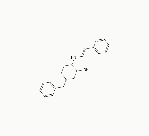 OC1CN(Cc2ccccc2)CCC1NC=Cc1ccccc1